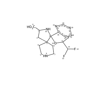 O=C(O)C1CC2(CCNCC2)C(OC(F)C(F)F)(c2ccncn2)N1